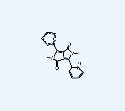 CN1C(=O)C2=C(C3C=CC=CN3)N(C)C(=O)C2=C1c1ccccn1